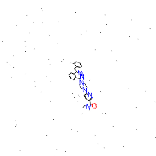 CCN(C)C(=O)c1ccc(N2CCN(c3nnc(CC4=CC=CCC4C)c4ccccc34)CC2)nc1